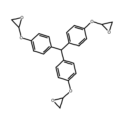 c1cc(C(c2ccc(OC3CO3)cc2)c2ccc(OC3CO3)cc2)ccc1OC1CO1